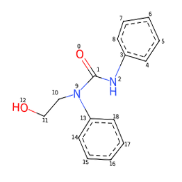 O=C(Nc1ccccc1)N(CCO)c1ccccc1